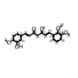 COc1ccc(/C=C/C(=O)CC(=O)/C=C/c2cccc(OC)c2OC)cc1O